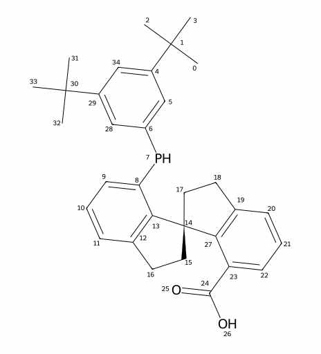 CC(C)(C)c1cc(Pc2cccc3c2[C@]2(CC3)CCc3cccc(C(=O)O)c32)cc(C(C)(C)C)c1